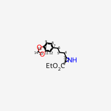 CCOC(=O)C1NC1CCCc1ccc2c(c1)OCO2